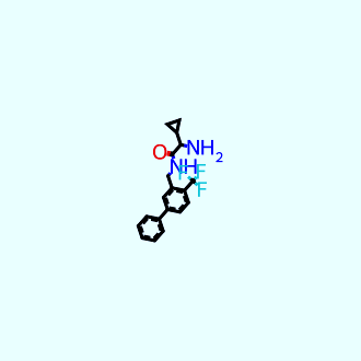 NC(C(=O)NCc1cc(-c2ccccc2)ccc1C(F)(F)F)C1CC1